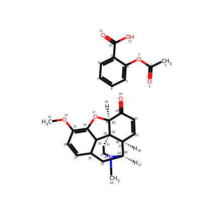 CC(=O)Oc1ccccc1C(=O)O.COC1=C2O[C@H]3C(=O)C=C[C@H]4[C@H]5CC(C=C1)C2[C@@]34CCN5C